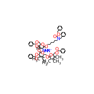 CC1[C@@H](OCC2O[C@@H](O[C@@H]3C(N=[N+]=[N-])[C@H](OCCCCCCN(Cc4ccccc4)C(=O)OCc4ccccc4)OC4COC(c5ccccc5)O[C@@H]43)C(OC(=O)c3ccccc3)[C@@H](C)[C@@H]2C)OC(COC(=O)c2ccccc2)[C@@H](C)[C@@H]1C